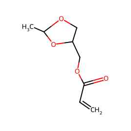 C=CC(=O)OCC1COC(C)O1